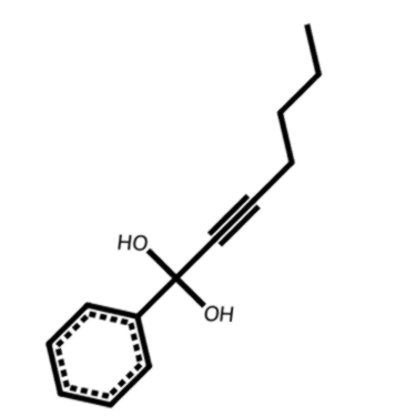 CCCCC#CC(O)(O)c1ccccc1